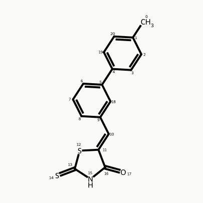 Cc1ccc(-c2cccc(/C=C3\SC(=S)NC3=O)c2)cc1